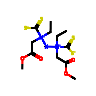 CC[N+](CC(=O)OC)([N][N+](CC)(CC(=O)OC)C(=S)[S-])C(=S)[S-]